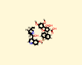 C=C[C@H]1CN2CC[C@H]1C[C@H]2[C@@H](O)c1ccnc2ccc(OC)cc12.COc1cc(OC)c2c(c1)O[C@@]1(c3ccc(Br)cc3)[C@H](c3ccccc3)[C@@H](C(=O)O)[C@@H](O)[C@@]21O